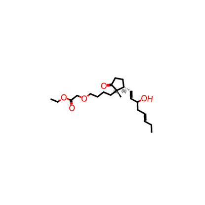 CCC=CCC(O)C=C[C@H]1CCC(=O)[C@@]1(C)CCCCOCC(=O)OCC